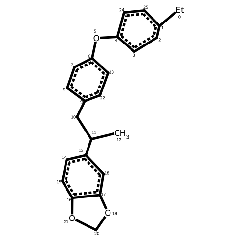 CCc1ccc(Oc2ccc(CC(C)c3ccc4c(c3)OCO4)cc2)cc1